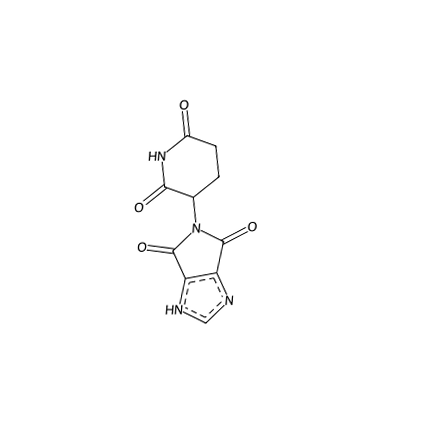 O=C1CCC(N2C(=O)c3nc[nH]c3C2=O)C(=O)N1